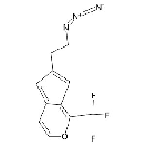 [N-]=[N+]=NCCc1cc2ccoc(C(F)(F)F)c-2c1